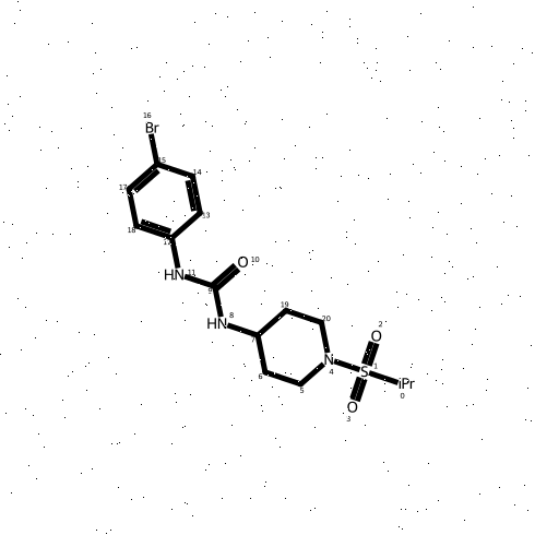 CC(C)S(=O)(=O)N1CCC(NC(=O)Nc2ccc(Br)cc2)CC1